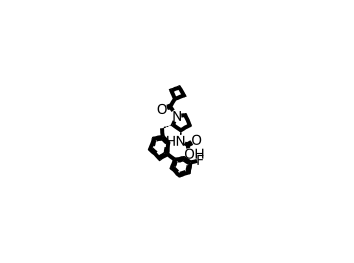 O=C(O)N[C@H]1CCN(C(=O)C2CCC2)[C@H]1Cc1cccc(-c2cccc(F)c2)c1